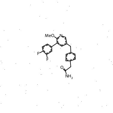 COc1ncc(Cc2ccc(CC(N)=O)cc2)cc1-c1ccc(F)c(F)c1